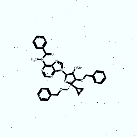 COC1C(n2cnc3c(N(C)C(=O)c4ccccc4)ncnc32)O[C@](COCc2ccccc2)(C2CC2)C1OCc1ccccc1